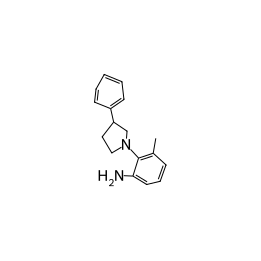 Cc1cccc(N)c1N1CCC(c2ccccc2)C1